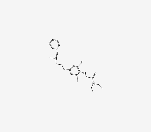 CCN(CC)C(=O)COc1c(F)cc(SCCN(C)Sc2ccccc2)cc1F